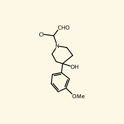 COc1cccc(C2(O)CCN(C(Cl)C=O)CC2)c1